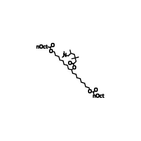 CCCCCCCCC(=O)OCCCCCCCCC(CCCCCCCCOC(=O)CCCCCCCC)OC(=O)CC(C)(C)CC(C)CN(C)C